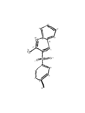 Cc1ccc(S(=O)(=O)c2nc3ccccc3nc2Cl)cc1